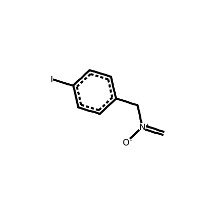 C=[N+]([O-])Cc1ccc(I)cc1